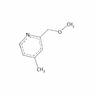 COCc1cc(C)ccn1